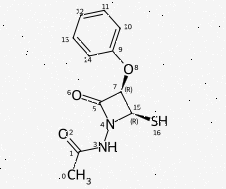 CC(=O)NN1C(=O)[C@@H](Oc2ccccc2)[C@H]1S